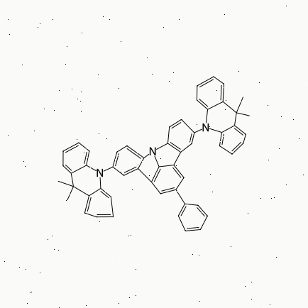 CC1(C)c2ccccc2N(c2ccc3c(c2)c2cc(-c4ccccc4)cc4c5cc(N6c7ccccc7C(C)(C)c7ccccc76)ccc5n3c24)c2ccccc21